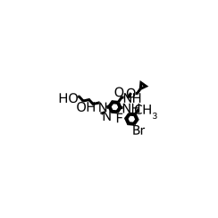 Cc1cc(Br)ccc1Nc1c(C(=O)NOCC2CC2)cc2c(ncn2CCCC(O)CO)c1F